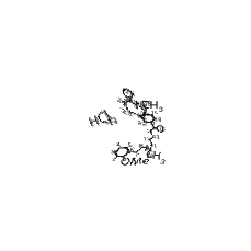 COc1ccccc1CCN(C)CCCCC(=O)c1ccc2c(c1)CCC(=O)N2C.Cl